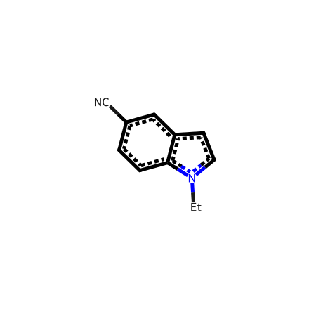 CCn1ccc2cc(C#N)ccc21